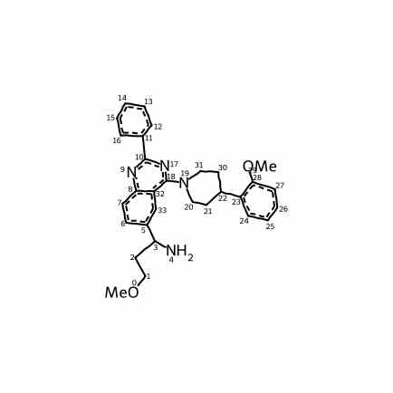 COCCC(N)c1ccc2nc(-c3ccccc3)nc(N3CCC(c4ccccc4OC)CC3)c2c1